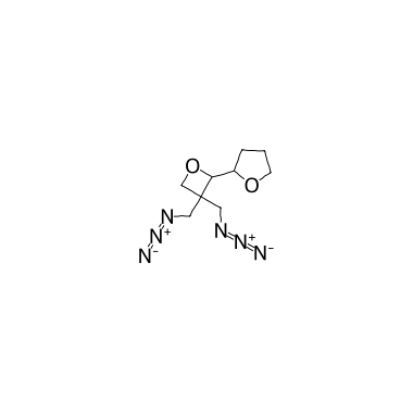 [N-]=[N+]=NCC1(CN=[N+]=[N-])COC1C1CCCO1